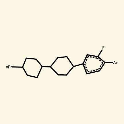 CCCC1CCC(C2CCC(c3ccc(C(C)=O)c(F)c3)CC2)CC1